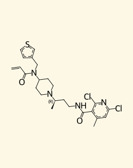 C=CC(=O)N(Cc1ccsc1)C1CCN([C@H](C)CCNC(=O)c2c(C)cc(Cl)nc2Cl)CC1